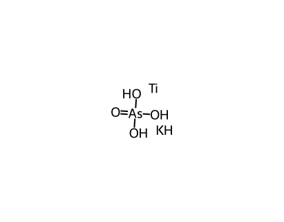 O=[As](O)(O)O.[KH].[Ti]